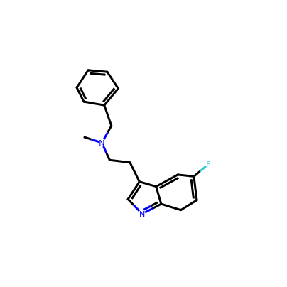 CN(CCC1=CN=C2CC=C(F)C=C12)Cc1ccccc1